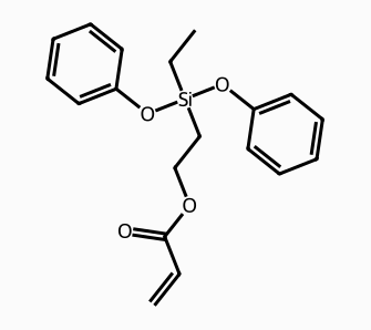 C=CC(=O)OCC[Si](CC)(Oc1ccccc1)Oc1ccccc1